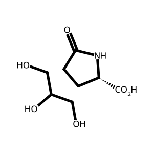 O=C1CC[C@@H](C(=O)O)N1.OCC(O)CO